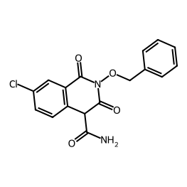 NC(=O)C1C(=O)N(OCc2ccccc2)C(=O)c2cc(Cl)ccc21